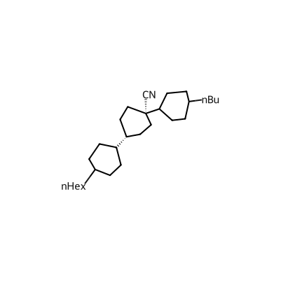 CCCCCCC1CCC([C@H]2CC[C@](C#N)(C3CCC(CCCC)CC3)CC2)CC1